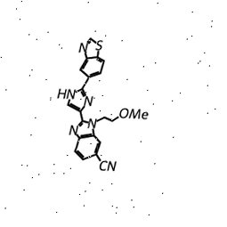 COCCn1c(-c2c[nH]c(-c3ccc4scnc4c3)n2)nc2ccc(C#N)cc21